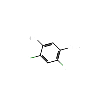 O=Cc1cc(C=O)c(Cl)cc1Cl